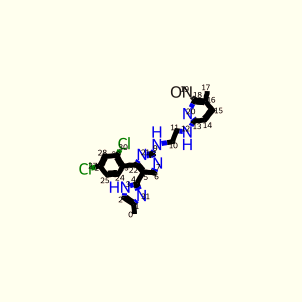 Cc1c[nH]c(-c2cnc(NCCNc3ccc(C)c(N=O)n3)nc2-c2ccc(Cl)cc2Cl)n1